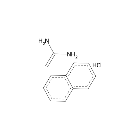 C=C(N)N.Cl.c1ccc2ccccc2c1